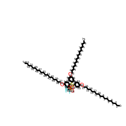 CCCCCCCCCCCCCCCCCCOc1ccc(S(OS(=O)(=O)C(F)(F)F)(c2ccc(OCCCCCCCCCCCCCCCCCC)cc2)c2ccc(OCCCCCCCCCCCCCCCCCC)cc2)cc1